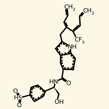 C=C/C=C(Cc1cc2cc(C(=O)N[C@@H](CO)c3ccc([SH](=O)=O)cc3)ccc2[nH]1)\C(=C/C=C)C(F)(F)F